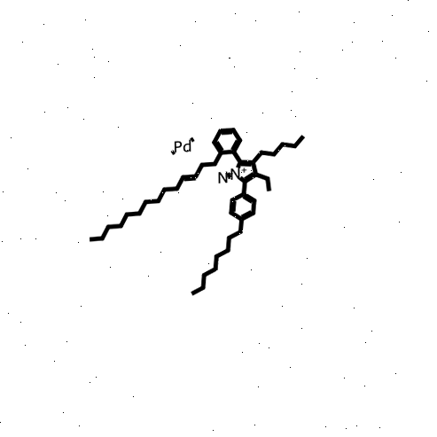 CCCCCCCCCCC=CCCc1ccccc1C1=C(CCCCC)C(CC)=C(c2ccc(CCCCCCCC)cc2)[N+]1=[N-].[CH3][Pd][CH3]